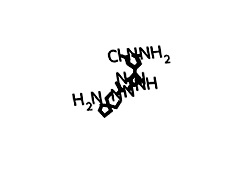 Nc1cc(-c2n[nH]c3nc(N4CCC5(CCCC5N)CC4)cnc23)cc(Cl)n1